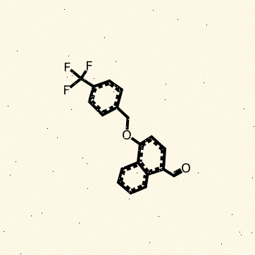 O=Cc1ccc(OCc2ccc(C(F)(F)F)cc2)c2ccccc12